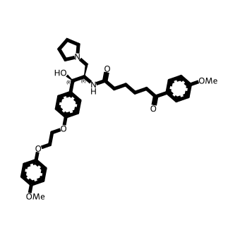 COc1ccc(OCCOc2ccc([C@@H](O)[C@@H](CN3CCCC3)NC(=O)CCCCC(=O)c3ccc(OC)cc3)cc2)cc1